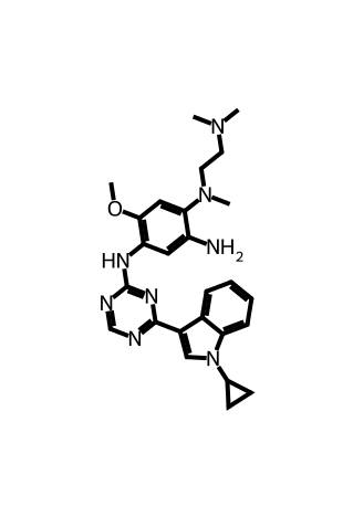 COc1cc(N(C)CCN(C)C)c(N)cc1Nc1ncnc(-c2cn(C3CC3)c3ccccc23)n1